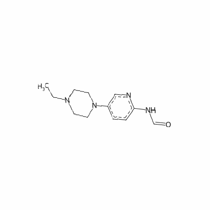 CCN1CCN(c2ccc(NC=O)nc2)CC1